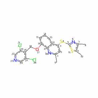 Cc1cc(Sc2nc(C)c(C)s2)c2cccc(OCc3c(Cl)cncc3Cl)c2n1